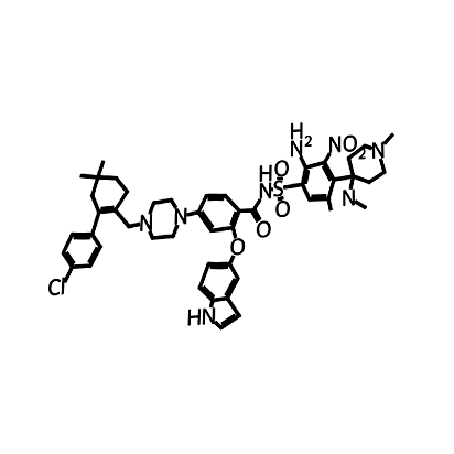 Cc1cc(S(=O)(=O)NC(=O)c2ccc(N3CCN(CC4=C(c5ccc(Cl)cc5)CC(C)(C)CC4)CC3)cc2Oc2ccc3[nH]ccc3c2)c(N)c([N+](=O)[O-])c1C1(N(C)C)CCN(C)CC1